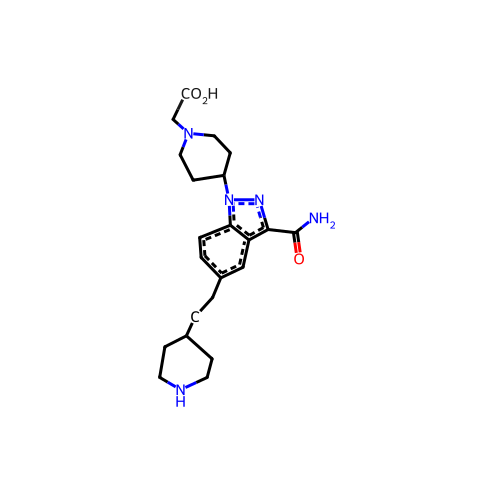 NC(=O)c1nn(C2CCN(CC(=O)O)CC2)c2ccc(CCC3CCNCC3)cc12